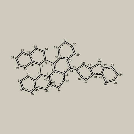 c1ccc2c(-c3c(-c4c5ccccc5c(-c5ccc6c(c5)oc5ccccc56)c5ccccc45)ccc4ccccc34)cccc2c1